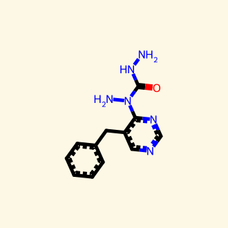 NNC(=O)N(N)c1ncncc1Cc1ccccc1